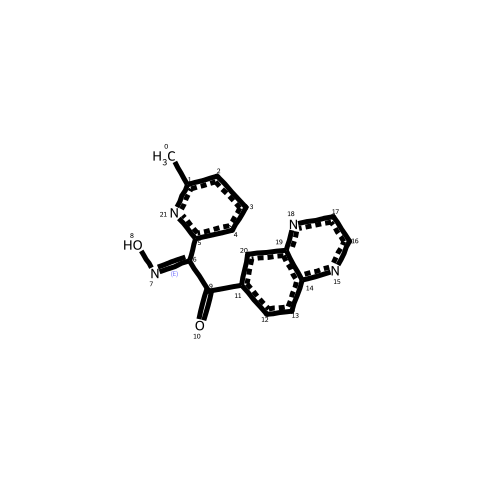 Cc1cccc(/C(=N\O)C(=O)c2ccc3nccnc3c2)n1